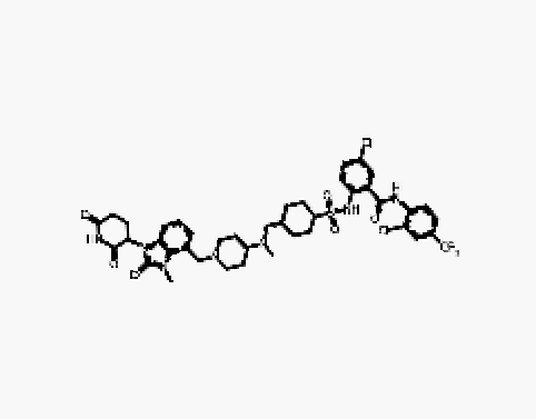 CN(CC1CCC(S(=O)(=O)Nc2ccc(Cl)cc2C(=O)Nc2ccc(C(F)(F)F)cc2Cl)CC1)C1CCN(Cc2cccc3c2n(C)c(=O)n3C2CCC(=O)NC2=O)CC1